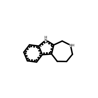 c1ccc2c3c([nH]c2c1)CNCCC3